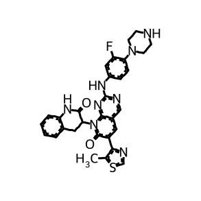 Cc1scnc1-c1cc2cnc(Nc3ccc(N4CCNCC4)c(F)c3)nc2n(C2Cc3ccccc3NC2=O)c1=O